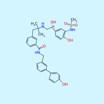 CC(C)(Cc1cccc(C(=O)NCc2cccc(-c3ccc(O)cc3)c2)c1)NC[C@H](O)c1ccc(O)c(NS(C)(=O)=O)c1